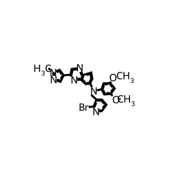 COc1cc(OC)cc(N(Cc2cccnc2Br)c2ccc3ncc(-c4cnn(C)c4)nc3c2)c1